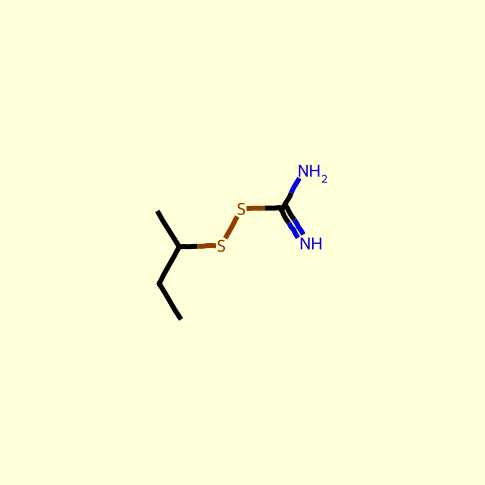 CCC(C)SSC(=N)N